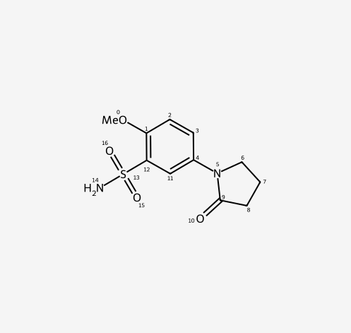 COc1ccc(N2CCCC2=O)cc1S(N)(=O)=O